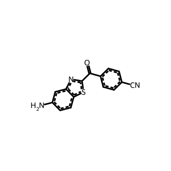 N#Cc1ccc(C(=O)c2nc3cc(N)ccc3s2)cc1